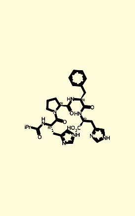 CC(C)C(=O)N[C@@H](Cc1c[nH]cn1)C(=O)N1CCC[C@H]1C(=O)N[C@@H](Cc1ccccc1)C(=O)N[C@@H](Cc1c[nH]cn1)C(=O)O